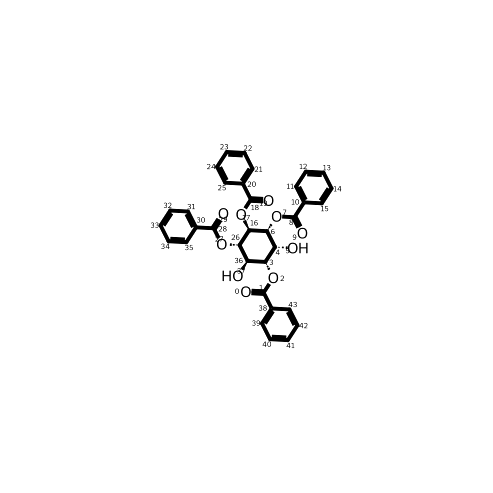 O=C(O[C@H]1[C@@H](O)[C@@H](OC(=O)c2ccccc2)[C@H](OC(=O)c2ccccc2)[C@@H](OC(=O)c2ccccc2)[C@@H]1O)c1ccccc1